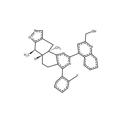 C[C@H]1c2oncc2C[C@@]2(C)c3nc(-c4cc(CO)nc5ccccc45)nc(-c4ccccc4F)c3CC[C@H]12